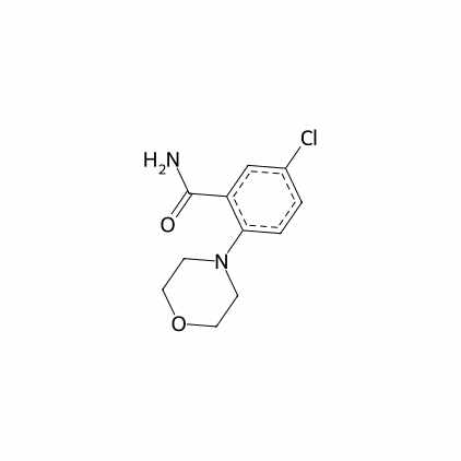 NC(=O)c1cc(Cl)ccc1N1CCOCC1